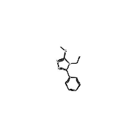 CCn1c(SC)nnc1-c1ccccc1